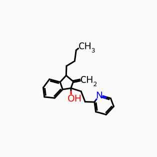 C=C1C(CCCC)c2ccccc2C1(O)CCc1ccccn1